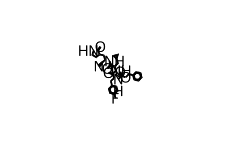 N#CC(CC1CCNC1=O)NC(=O)C(CC1CC1)NC(=O)C(Cc1ccc(F)cc1)NC(=O)OCc1ccccc1